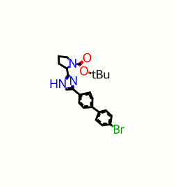 CC(C)(C)OC(=O)N1CCCC1c1nc(-c2ccc(-c3ccc(Br)cc3)cc2)c[nH]1